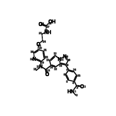 CNC(=O)c1ccc(-c2cnn3ccc(C(=O)N(C)c4ccc(OCCNC(=O)O)cn4)cc23)cc1